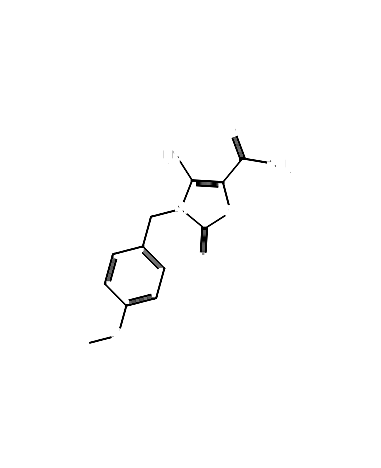 COc1ccc(Cn2c(N)c(C(N)=O)sc2=S)cc1